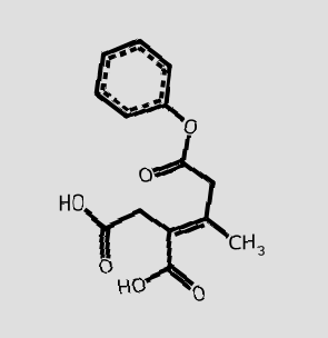 CC(CC(=O)Oc1ccccc1)=C(CC(=O)O)C(=O)O